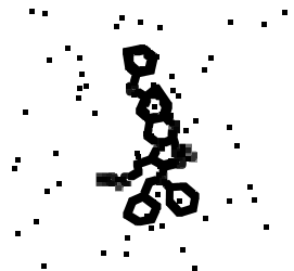 NC1=Nc2ccc(Oc3ccccc3)cc2CN1C(CCC(=O)O)C(=O)N(CC1CCCCC1)C1CCCCC1